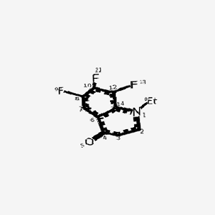 CCn1ccc(=O)c2cc(F)c(F)c(F)c21